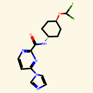 O=C(N[C@H]1CC[C@H](OC(F)F)CC1)c1nccc(-n2ccnc2)n1